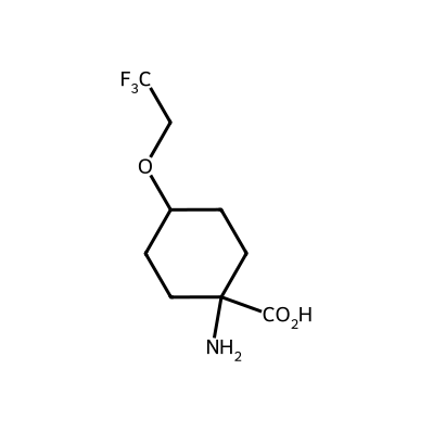 NC1(C(=O)O)CCC(OCC(F)(F)F)CC1